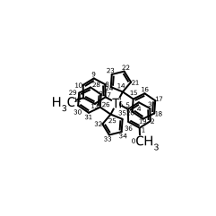 Cc1ccc[c]([Ti]([c]2cccc(C)c2)([C]2(c3ccccc3)C=CC=C2)[C]2(c3ccccc3)C=CC=C2)c1